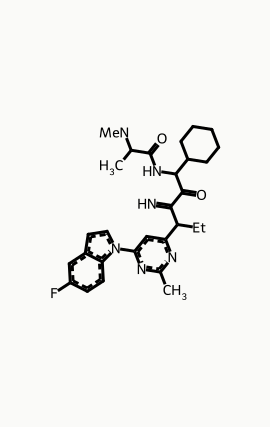 CCC(C(=N)C(=O)C(NC(=O)C(C)NC)C1CCCCC1)c1cc(-n2ccc3cc(F)ccc32)nc(C)n1